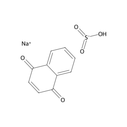 O=C1C=CC(=O)c2ccccc21.O=[S-](=O)O.[Na+]